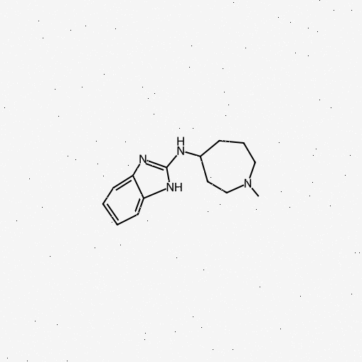 CN1CCCC(Nc2nc3ccccc3[nH]2)CC1